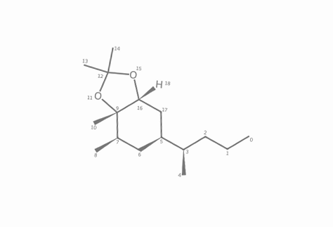 CCC[C@@H](C)[C@H]1C[C@@H](C)[C@]2(C)OC(C)(C)O[C@@H]2C1